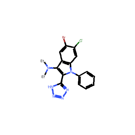 CCN(CC)c1c(-c2nnn[nH]2)n(-c2ccccc2)c2cc(Cl)c(Br)cc12